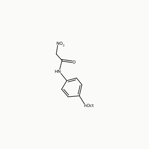 CCCCCCCCc1ccc(NC(=O)C[N+](=O)[O-])cc1